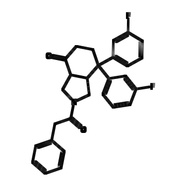 O=C1CCC(c2cccc(F)c2)(c2cccc(F)c2)C2CN(C(=O)Cc3ccccc3)CC12